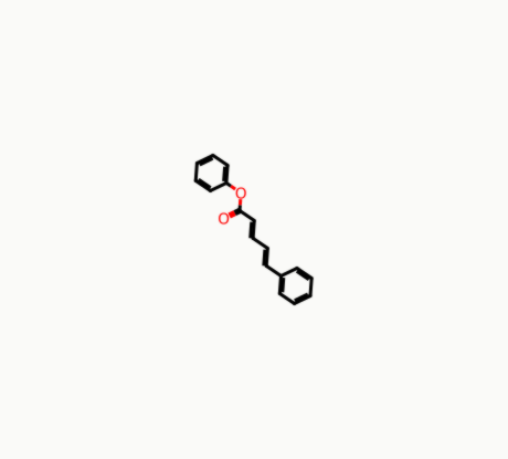 O=C(C=CC=Cc1ccccc1)Oc1ccccc1